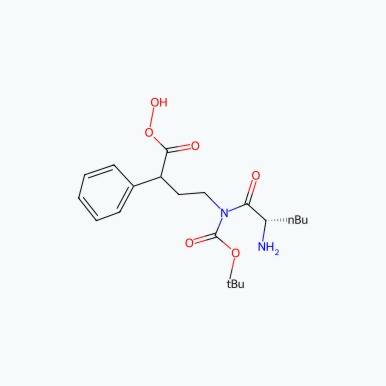 CCCC[C@H](N)C(=O)N(CCC(C(=O)OO)c1ccccc1)C(=O)OC(C)(C)C